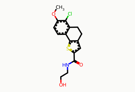 COc1ccc2c(c1Cl)CCc1cc(C(=O)NCCO)sc1-2